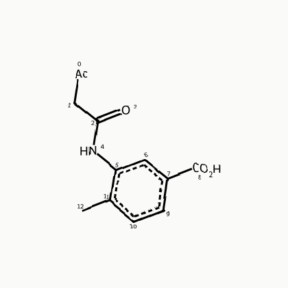 CC(=O)CC(=O)Nc1cc(C(=O)O)ccc1C